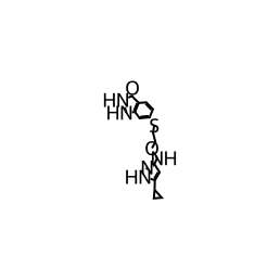 O=c1[nH][nH]c2cc(SCCONc3cc(C4CC4)[nH]n3)ccc12